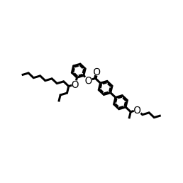 CCCCCCCCC(CCC)Oc1ccccc1OC(=O)c1ccc(-c2ccc(C(C)OCCCC)cc2)cc1